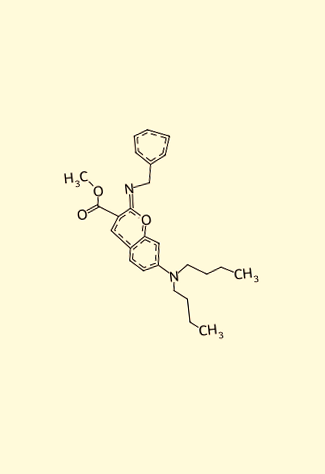 CCCCN(CCCC)c1ccc2cc(C(=O)OC)c(=NCc3ccccc3)oc2c1